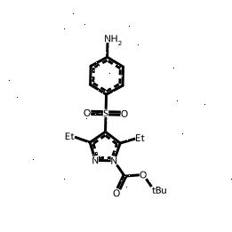 CCc1nn(C(=O)OC(C)(C)C)c(CC)c1S(=O)(=O)c1ccc(N)cc1